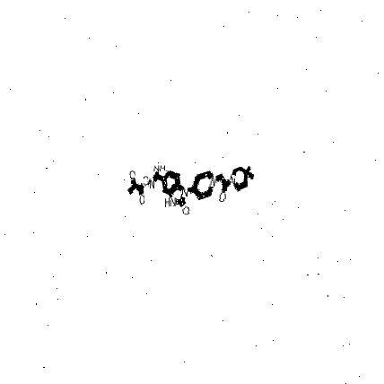 CC(=O)C(=O)ON=C(N)c1ccc2c(c1)[nH]c(=O)n2C1CCN(CC(=O)N2CCC(C)(C)CC2)CC1